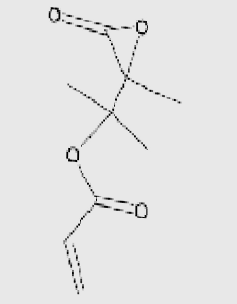 C=CC(=O)OC(C)(C)C1(C)OC1=O